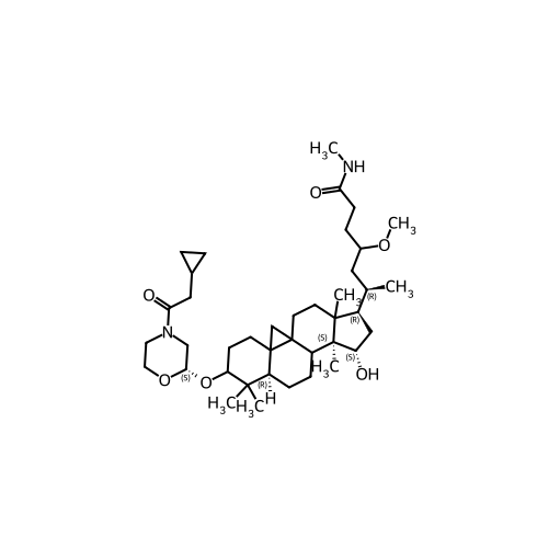 CNC(=O)CCC(C[C@@H](C)[C@H]1C[C@H](O)[C@@]2(C)C3CC[C@H]4C(C)(C)C(O[C@H]5CN(C(=O)CC6CC6)CCO5)CCC45CC35CCC12C)OC